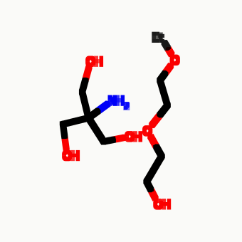 CCOCCOCCO.NC(CO)(CO)CO